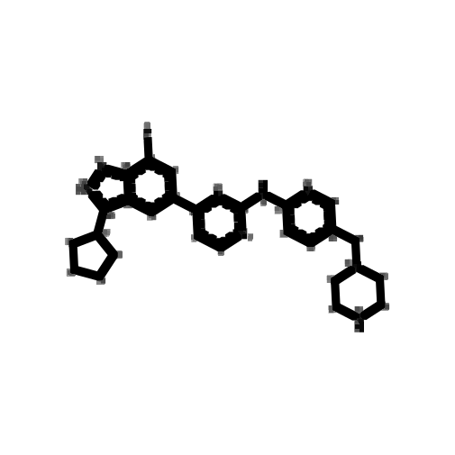 Fc1cc(-c2ccnc(Nc3ccc(CN4CCNCC4)cn3)n2)cc2c(C3CCCC3)[nH]nc12